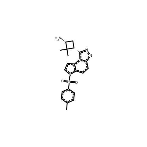 Cc1ccc(S(=O)(=O)n2ccc3c2ccc2nnc([C@H]4C[C@@H](N)C4(C)C)n23)cc1